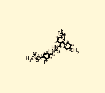 CC1CCN(c2nc(C(F)(F)F)ccc2CNC(=O)NCc2ccc(CNS(C)(=O)=O)c(F)c2)CC1